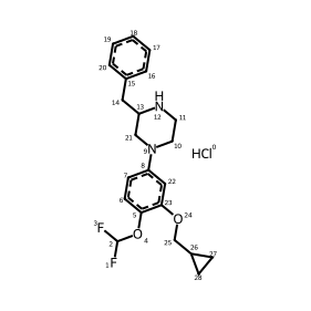 Cl.FC(F)Oc1ccc(N2CCNC(Cc3ccccc3)C2)cc1OCC1CC1